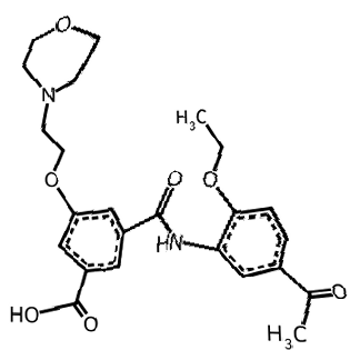 CCOc1ccc(C(C)=O)cc1NC(=O)c1cc(OCCN2CCOCC2)cc(C(=O)O)c1